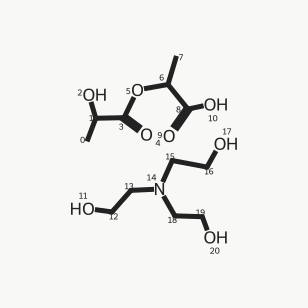 CC(O)C(=O)OC(C)C(=O)O.OCCN(CCO)CCO